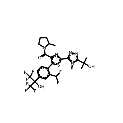 CC1CCCN1C(=O)c1nc(-c2nnc(C(C)(C)O)n2C)sc1-c1ccc(C(O)(C(F)(F)F)C(F)(F)F)cc1C(F)F